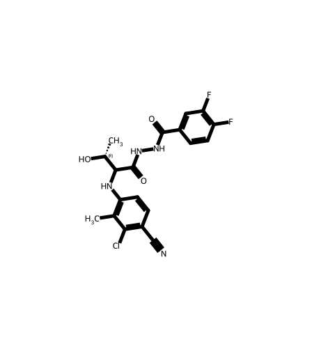 Cc1c(NC(C(=O)NNC(=O)c2ccc(F)c(F)c2)[C@@H](C)O)ccc(C#N)c1Cl